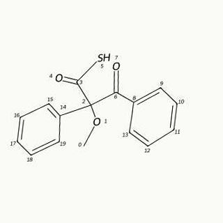 COC(C(=O)S)(C(=O)c1ccccc1)c1ccccc1